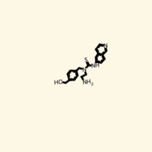 NCCN(Cc1ccc(CO)cc1)C(=S)Nc1ccc2cnccc2c1